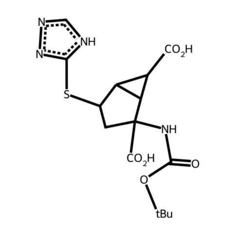 CC(C)(C)OC(=O)NC1(C(=O)O)CC(Sc2nnc[nH]2)C2C(C(=O)O)C21